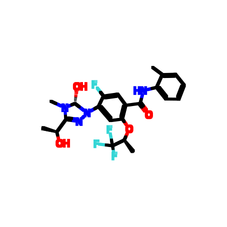 Cc1ccccc1NC(=O)c1cc(F)c(N2N=C([C@H](C)O)N(C)[C@@H]2O)cc1O[C@@H](C)C(F)(F)F